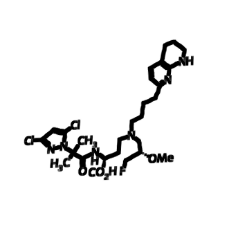 CO[C@H](CF)CN(CCCCc1ccc2c(n1)NCCC2)CC[C@H](NC(=O)C(C)(C)n1nc(Cl)cc1Cl)C(=O)O